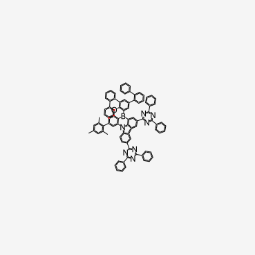 Cc1cc(C)c(-c2cc3c4c(c2)-n2c5ccc(-c6nc(-c7ccccc7)nc(-c7ccccc7)n6)cc5c5cc(-c6nc(-c7ccccc7)nc(-c7ccccc7)n6)cc(c52)B4c2cc(-c4ccccc4-c4ccccc4)cc(-c4ccccc4-c4ccccc4)c2O3)c(C)c1